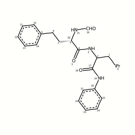 CC(C)CC(NC(=O)[C@H](CCc1ccccc1)NC=O)C(=O)Nc1ccccc1